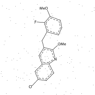 COc1cccc(Cc2cc3cc(Cl)ccc3nc2OC)c1F